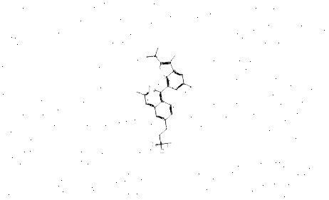 Cc1cc(-c2nc(C)cc3cc(CCC(F)(F)F)ccc23)c2oc(C(C)C)c(C)c2c1